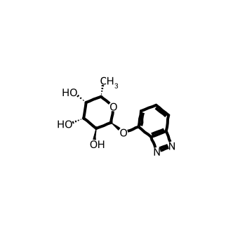 C[C@@H]1O[C@@H](Oc2cccc3c2N=N3)[C@@H](O)[C@H](O)[C@@H]1O